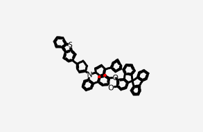 C1=CC(N(C2=CC=C(c3ccc4c(c3)sc3ccccc34)CC2)c2ccccc2-c2ccc3c(c2)Oc2ccc4c(c2O3)-c2ccccc2C42c3ccccc3-c3ccccc32)CC=C1c1ccccc1